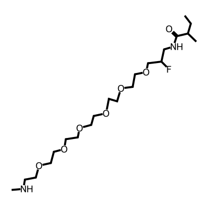 CCC(C)C(=O)NCC(F)COCCOCCOCCOCCOCCOCCNC